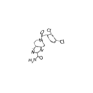 NC(=O)c1n[c]c2c(n1)CN(C(=O)c1ccc(Cl)cc1Cl)CC2